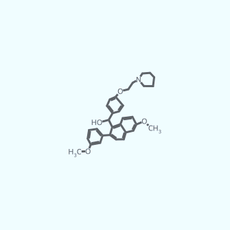 COc1cccc(-c2ccc3cc(OC)ccc3c2C(O)c2ccc(OCCN3CCCCC3)cc2)c1